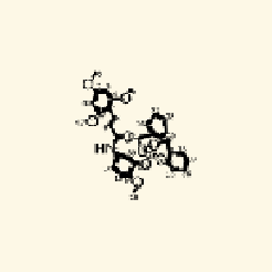 COc1cc(OC)c(C=CC(=O)Nc2ccc(OC)c(OP(=O)(OCc3ccccc3)OCc3ccccc3)c2)c(OC)c1